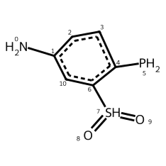 Nc1ccc(P)c([SH](=O)=O)c1